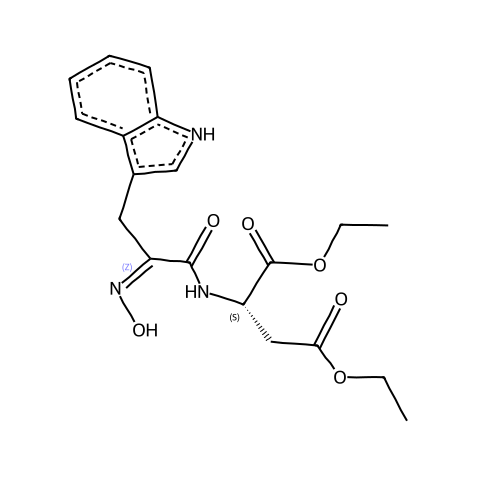 CCOC(=O)C[C@H](NC(=O)/C(Cc1c[nH]c2ccccc12)=N\O)C(=O)OCC